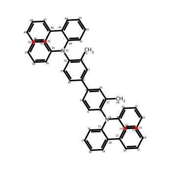 Cc1cc(-c2ccc(N(c3ccccc3)c3ccccc3-c3ccccc3)c(C)c2)ccc1N(c1ccccc1)c1ccccc1-c1ccccc1